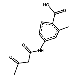 CC(=O)CC(=O)Nc1ccc(C(=O)O)c(C)c1